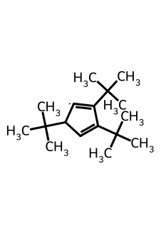 CC(C)(C)C1=[C]C(C(C)(C)C)C=C1C(C)(C)C